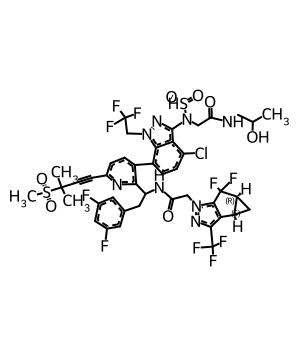 CC(O)CNC(=O)CN(c1nn(CC(F)(F)F)c2c(-c3ccc(C#CC(C)(C)S(C)(=O)=O)nc3C(Cc3cc(F)cc(F)c3)NC(=O)Cn3nc(C(F)(F)F)c4c3C(F)(F)[C@@H]3C[C@H]43)ccc(Cl)c12)[SH](=O)=O